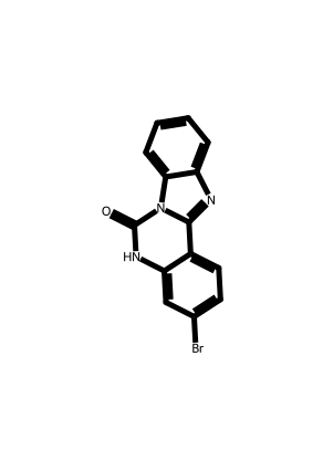 O=c1[nH]c2cc(Br)ccc2c2nc3ccccc3n12